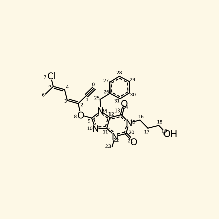 C#C/C(=C\C=C(/C)Cl)Oc1nc2c(c(=O)n(CCCO)c(=O)n2C)n1Cc1ccccc1